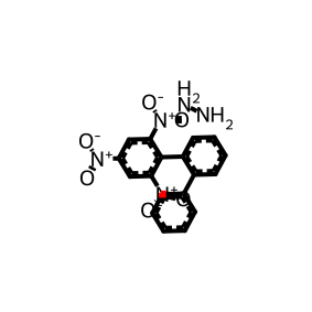 NN.O=[N+]([O-])c1cc([N+](=O)[O-])c(-c2ccccc2-c2ccccc2)c([N+](=O)[O-])c1